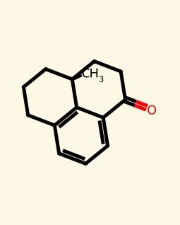 CC12CCCc3cccc(c31)C(=O)CC2